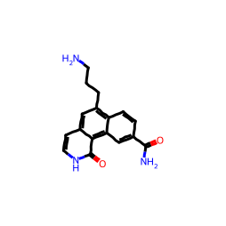 NCCCc1cc2cc[nH]c(=O)c2c2cc(C(N)=O)ccc12